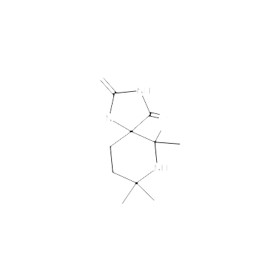 CC1(C)CCC2(NC(=O)NC2=O)C(C)(C)N1